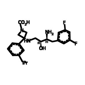 CC(C)c1cccc(C2(NC[C@@H](O)[C@@H](N)Cc3cc(F)cc(F)c3)CN(C(=O)O)C2)c1